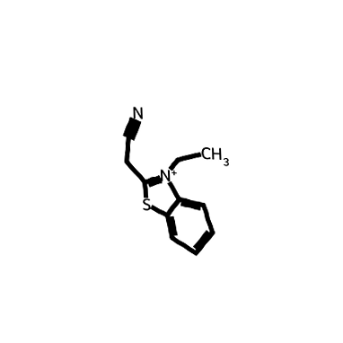 CC[n+]1c(CC#N)sc2ccccc21